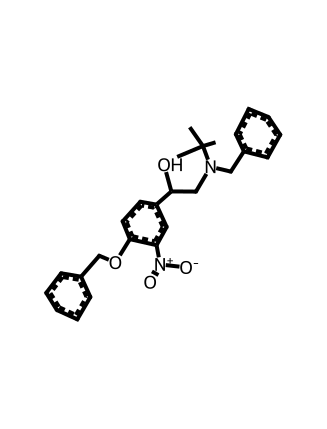 CC(C)(C)N(Cc1ccccc1)CC(O)c1ccc(OCc2ccccc2)c([N+](=O)[O-])c1